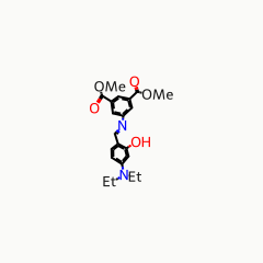 CCN(CC)c1ccc(C=Nc2cc(C(=O)OC)cc(C(=O)OC)c2)c(O)c1